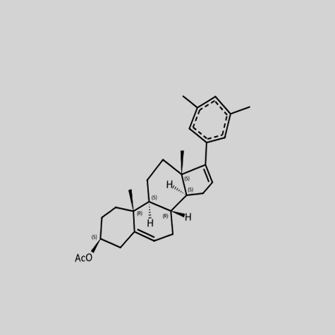 CC(=O)O[C@H]1CC[C@@]2(C)C(=CC[C@@H]3[C@@H]2CC[C@]2(C)C(c4cc(C)cc(C)c4)=CC[C@@H]32)C1